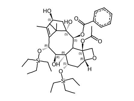 CC[Si](CC)(CC)O[C@@H]1C2=C(C)[C@@H](O)C[C@@](O)([C@@H](OC(=O)c3ccccc3)C3[C@@](C)([C@@H](O[Si](CC)(CC)CC)C[C@H]4OC[C@@]34OC(C)=O)[C@H]1O)C2(C)C